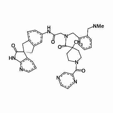 CNCc1ccccc1CN(CC(=O)Nc1ccc2c(c1)C[C@@]1(C2)C(=O)Nc2ncccc21)C(=O)C1(C)CCN(C(=O)c2cnccn2)CC1